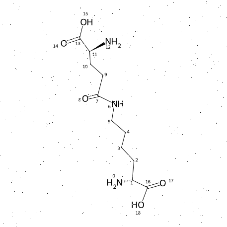 N[C@H](CCCCNC(=O)CC[C@H](N)C(=O)O)C(=O)O